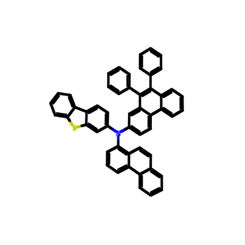 c1ccc(-c2c(-c3ccccc3)c3cc(N(c4ccc5c(c4)sc4ccccc45)c4cccc5c4ccc4ccccc45)ccc3c3ccccc23)cc1